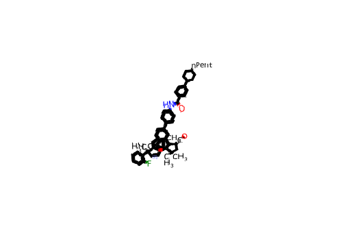 CCCCCC1CCC(c2ccc(C(=O)Nc3ccc(-c4ccc5c(C)c(/C=C\C(C)(c6ccc(C)cc6)c6ccccc6F)c6c(c5c4)C(=C=O)CC6(C)C)cc3)cc2)CC1